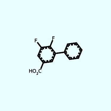 O=C(O)c1cc(F)c(F)c(-c2ccccc2)c1